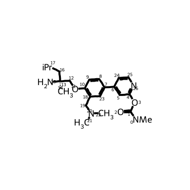 CNC(=O)Oc1cc(-c2ccc(OC[C@@](C)(N)CC(C)C)c(CN(C)C)c2)ccn1